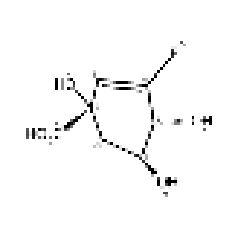 O=C(O)[C@@]1(O)C=C(F)[C@H](O)[C@@H](O)C1